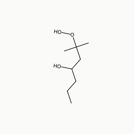 CCCC(O)CC(C)(C)OO